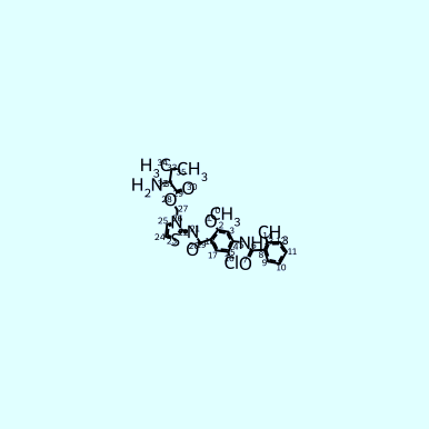 COc1cc(NC(=O)c2ccccc2C)c(Cl)cc1C(=O)N=c1sccn1COC(=O)[C@@H](N)C(C)C